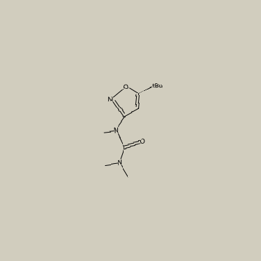 CN(C)C(=O)N(C)c1cc(C(C)(C)C)on1